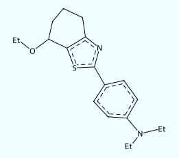 CCOC1CCCc2nc(-c3ccc(N(CC)CC)cc3)sc21